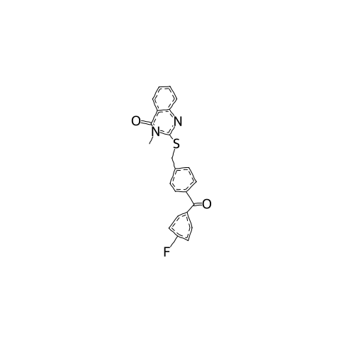 Cn1c(SCc2ccc(C(=O)c3ccc(F)cc3)cc2)nc2ccccc2c1=O